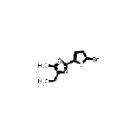 CCc1nc(C2=CCC(Br)S2)oc1C